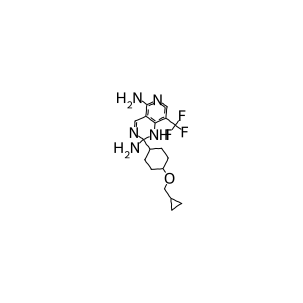 Nc1ncc(C(F)(F)F)c2c1C=NC(N)(C1CCC(OCC3CC3)CC1)N2